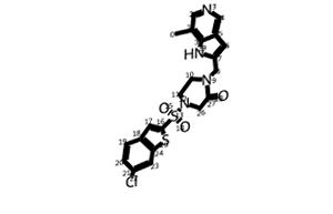 Cc1cncc2cc(CN3CCN(S(=O)(=O)c4cc5ccc(Cl)cc5s4)CC3=O)[nH]c12